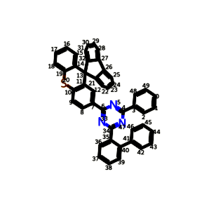 c1ccc(-c2nc(-c3ccc4c(c3)C3(c5ccccc5S4)c4ccccc4-c4ccccc43)nc(-c3ccccc3-c3ccccc3)n2)cc1